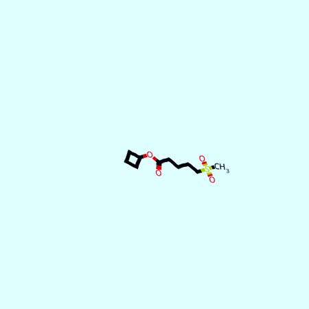 CS(=O)(=O)CCCCC(=O)OC1CCC1